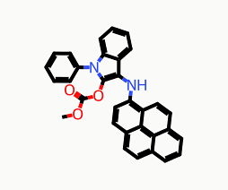 COC(=O)Oc1c(Nc2ccc3ccc4cccc5ccc2c3c45)c2ccccc2n1-c1ccccc1